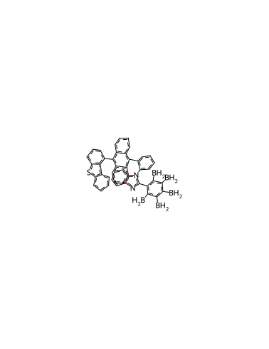 Bc1c(B)c(B)c(-c2nc3ccccc3n2-c2ccccc2-c2c3ccccc3c(-c3cccc4sc5ccccc5c34)c3ccccc23)c(B)c1B